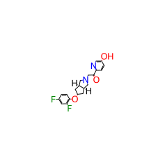 O=C(CN1C[C@H]2C[C@@H](Oc3ccc(F)cc3F)C[C@H]2C1)c1ccc(O)cn1